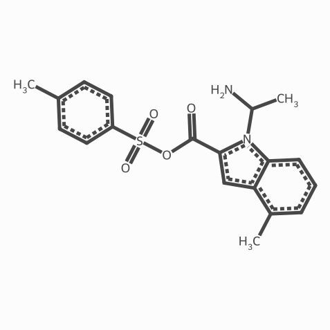 Cc1ccc(S(=O)(=O)OC(=O)c2cc3c(C)cccc3n2C(C)N)cc1